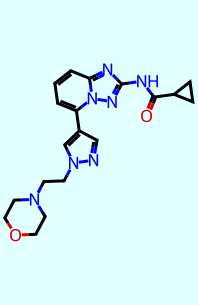 O=C(Nc1nc2cccc(-c3cnn(CCN4CCOCC4)c3)n2n1)C1CC1